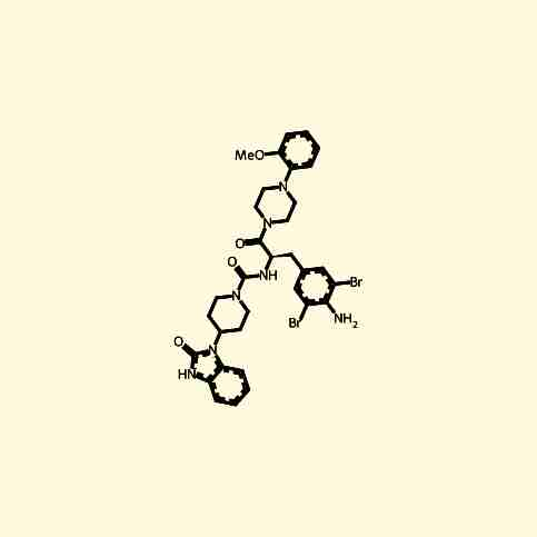 COc1ccccc1N1CCN(C(=O)[C@@H](Cc2cc(Br)c(N)c(Br)c2)NC(=O)N2CCC(n3c(=O)[nH]c4ccccc43)CC2)CC1